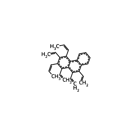 C=Cc1c(/C=C\C)c(C=C)c2c(C=C)c(C=C)c3ccccc3c2c1/C=C\C